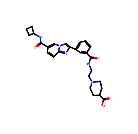 O=C(NCCN1CCC(C(=O)O)CC1)c1cccc(-c2cn3cc(C(=O)NC4CCC4)ccc3n2)c1